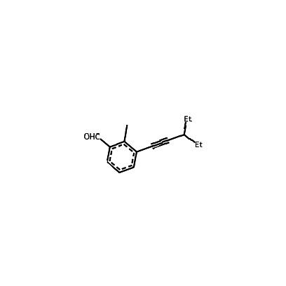 CCC(C#Cc1cccc(C=O)c1C)CC